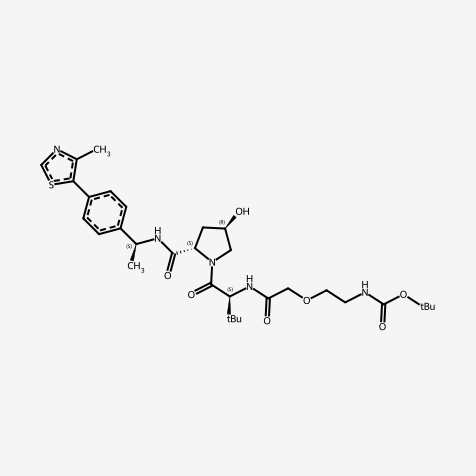 Cc1ncsc1-c1ccc([C@H](C)NC(=O)[C@@H]2C[C@@H](O)CN2C(=O)[C@@H](NC(=O)COCCNC(=O)OC(C)(C)C)C(C)(C)C)cc1